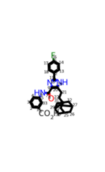 O=C(O)c1cccc(NC(=O)c2nc(-c3ccc(F)cc3)[nH]c2CCC23CC4CC(CC(C4)C2)C3)c1